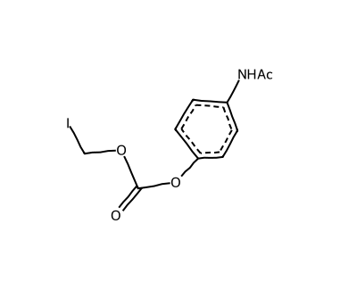 CC(=O)Nc1ccc(OC(=O)OCI)cc1